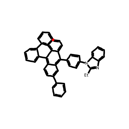 CCc1nc2ccccc2n1-c1ccc(-c2c3ccccc3c(-c3ccccc3-c3ccccc3)c3ccc(-c4ccccc4)cc23)cc1